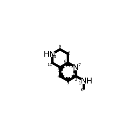 CNc1ccc2c(n1)CCNC2